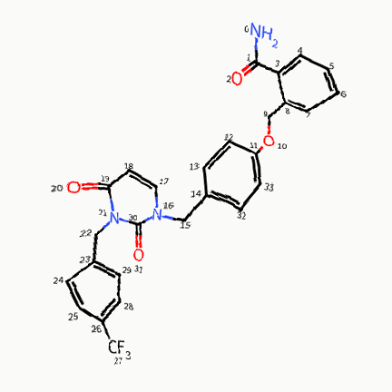 NC(=O)c1ccccc1COc1ccc(Cn2ccc(=O)n(Cc3ccc(C(F)(F)F)cc3)c2=O)cc1